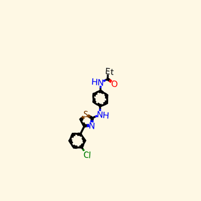 CCC(=O)Nc1ccc(Nc2nc(-c3cccc(Cl)c3)cs2)cc1